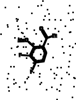 CCC(=O)c1ccc(F)c(F)c1OC